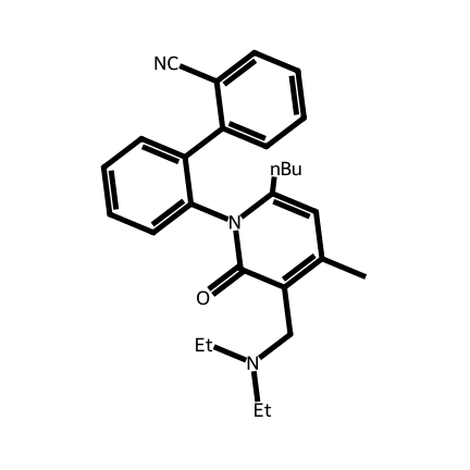 CCCCc1cc(C)c(CN(CC)CC)c(=O)n1-c1ccccc1-c1ccccc1C#N